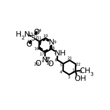 CC1(O)CCC(CNc2ncc(S(N)(=O)=O)cc2[N+](=O)[O-])CC1